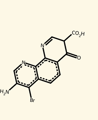 Nc1cnc2c3c(ccc2c1Br)C(=O)C(C(=O)O)C=N3